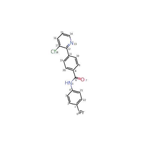 CC(C)c1ccc(NC(=O)c2ccc(-c3ncccc3Cl)cc2)cc1